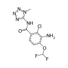 Cn1nnnc1NC(=O)c1ccc(OC(F)F)c(N)c1Cl